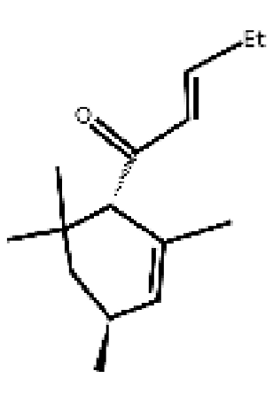 CC/C=C/C(=O)[C@@H]1C(C)=C[C@@H](C)CC1(C)C